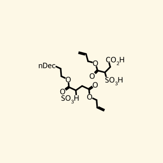 C=CCOC(=O)C(CC(=O)O)S(=O)(=O)O.C=CCOC(=O)CC(C(=O)OCCCCCCCCCCCC)S(=O)(=O)O